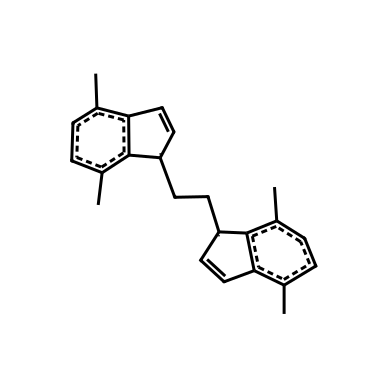 Cc1ccc(C)c2c1C=C[C]2CC[C]1C=Cc2c(C)ccc(C)c21